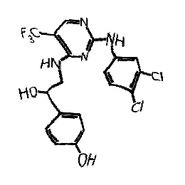 Oc1ccc(C(O)CNc2nc(Nc3ccc(Cl)c(Cl)c3)ncc2C(F)(F)F)cc1